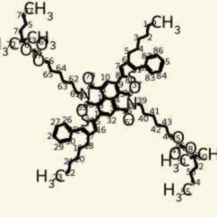 CCCCCCc1cc(-c2cc3c4c(c(-c5cc(CCCCCC)c(-c6ccccc6)s5)cc5c4c2C(=O)N(CCCCCCOC(=O)OC(C)(C)CCCC)C5=O)C(=O)N(CCCCCCOC(=O)OC(C)(C)CCCC)C3=O)sc1-c1ccccc1